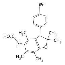 Cc1c(C)c2c(c(C)c1NC(=O)O)C(c1ccc(C(C)C)cc1)C(C)(C)O2